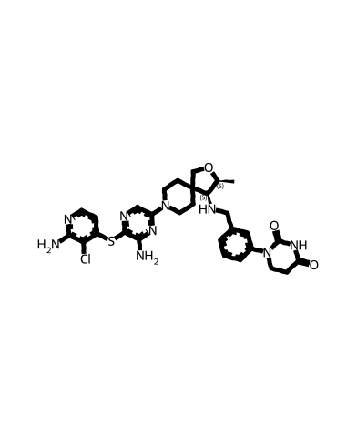 C[C@@H]1OCC2(CCN(c3cnc(Sc4ccnc(N)c4Cl)c(N)n3)CC2)[C@@H]1NCc1cccc(N2CCC(=O)NC2=O)c1